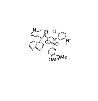 CCN(C(=O)CN(c1cc(N(C)C)ccc1Cl)S(=O)(=O)c1ccc(OC)c(OC)c1)C(c1csnc1C)c1cccc2ncccc12